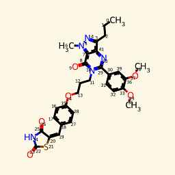 CCCc1nn(C)c2c(=O)n(CCCOc3ccc(/C=C4/SC(=O)NC4=O)cc3)c(-c3ccc(OC)c(OC)c3)nc12